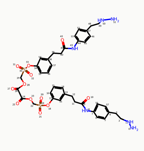 NNCCc1ccc(NC(=O)CCc2cccc(OS(=O)(=O)COC(=O)C(=O)OCS(=O)(=O)Oc3cccc(CCC(=O)Nc4ccc(CCNN)cc4)c3)c2)cc1